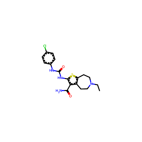 CCN1CCc2sc(NC(=O)Nc3ccc(Cl)cc3)c(C(N)=O)c2CC1